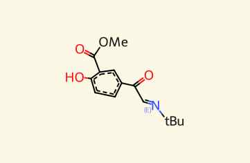 COC(=O)c1cc(C(=O)/C=N/C(C)(C)C)ccc1O